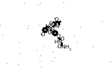 COc1ccc2nc([S+]([O-])Cc3ncc(C)c(OC)c3C)n(S(=O)(=O)c3ccc(OCC(=O)NCC(N)=O)cc3)c2c1